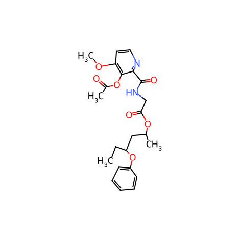 CCC(CC(C)OC(=O)CNC(=O)c1nccc(OC)c1OC(C)=O)Oc1ccccc1